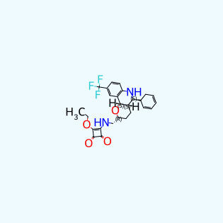 CCOc1c(NC[C@H]2CC[C@@H]3[C@H](O2)c2cc(C(F)(F)F)ccc2N[C@H]3C2C=CC=CC2)c(=O)c1=O